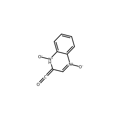 O=C=C1C=[N+]([O-])c2ccccc2[NH+]1[O-]